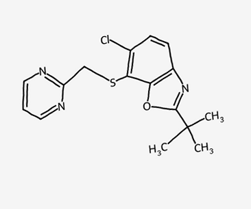 CC(C)(C)c1nc2ccc(Cl)c(SCc3ncccn3)c2o1